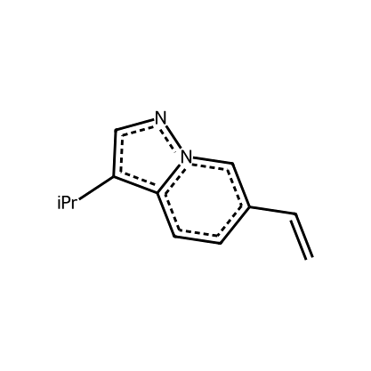 C=Cc1ccc2c(C(C)C)cnn2c1